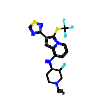 CN1CC[C@@H](Nc2cccn3c(SC(F)(F)F)c(-c4ncsn4)cc23)[C@@H](F)C1